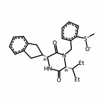 CCC(CC)[C@@H]1C(=O)N[C@H](C2Cc3ccccc3C2)C(=O)N1Cc1ccccc1[S+](C)[O-]